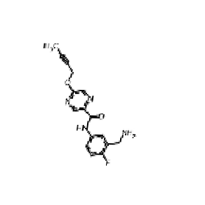 CC#CCOc1cnc(C(=O)Nc2ccc(F)c(CN)c2)cn1